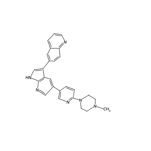 CN1CCN(c2ccc(-c3cnc4[nH]cc(-c5ccc6ncccc6c5)c4c3)cn2)CC1